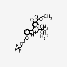 CCOC(=O)c1cn2c(cc1=O)-c1c3cccc(OCCOCC(F)(F)F)c3nn1CC2C(C)(C)C